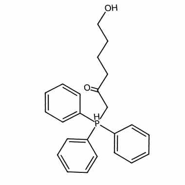 O=C(CCCCO)C[PH](c1ccccc1)(c1ccccc1)c1ccccc1